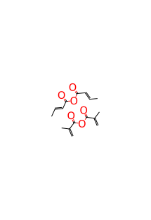 C/C=C/C(=O)OC(=O)/C=C/C.C=C(C)C(=O)OC(=O)C(=C)C